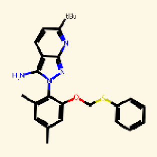 Cc1cc(C)c(-n2nc3nc(C(C)(C)C)ccc3c2N)c(OCSc2ccccc2)c1